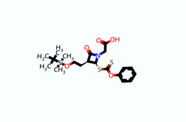 CC(C)(C)[Si](C)(C)OCC[C@H]1C(=O)N(CC(=O)O)[C@@H]1SC(=S)Oc1ccccc1